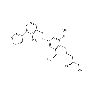 COc1cc(OCc2cccc(-c3ccccc3)c2C)cc(OC)c1CNC[C@H](O)CO